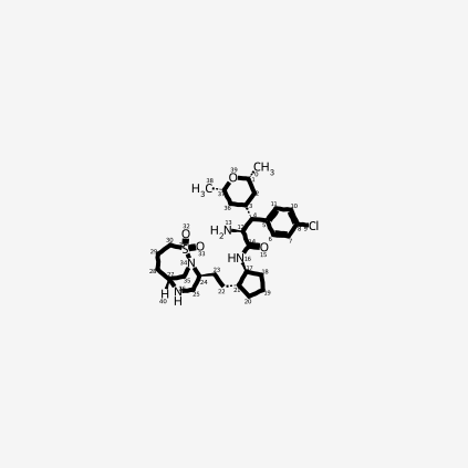 C[C@@H]1CC([C@H](c2ccc(Cl)cc2)[C@H](N)C(=O)N[C@H]2CCC[C@@H]2CC[C@H]2CN[C@@H]3CCCS(=O)(=O)N2C3)C[C@H](C)O1